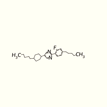 CCCCCc1ccc(-c2ncc(C3CCC(CCCCC)CC3)cn2)c(F)c1